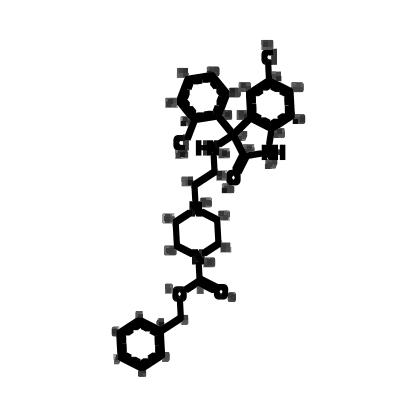 O=C(OCc1ccccc1)N1CCN(CCNC2(c3ccccc3Cl)C(=O)Nc3ccc(Cl)cc32)CC1